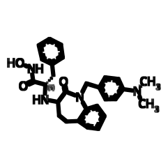 CN(C)c1ccc(CN2C(=O)C(N[C@@H](Cc3ccccc3)C(=O)NO)CCc3ccccc32)cc1